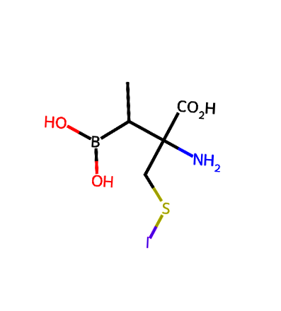 CC(B(O)O)C(N)(CSI)C(=O)O